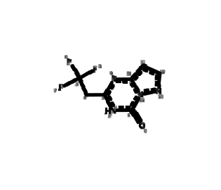 O=c1[nH]c(CC(F)(F)F)nc2ccnn12